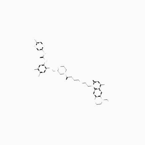 Cc1cnc(NC(=O)Nc2cc(Br)c(C)cc2OC[C@@H]2CN(C(=O)CCCOCCn3c(=O)cc(C(F)(F)F)c4cc5c(cc43)OCCN5CC(F)(F)F)CCO2)cn1